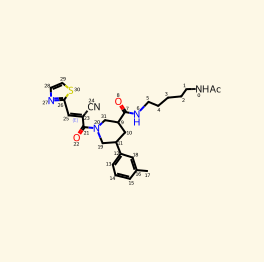 CC(=O)NCCCCCNC(=O)C1CC(c2cccc(C)c2)CN(C(=O)/C(C#N)=C/c2nccs2)C1